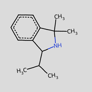 CC(C)C1NC(C)(C)c2ccccc21